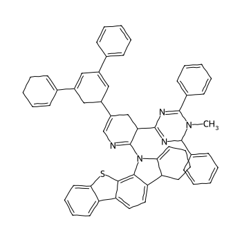 CN1C(c2ccccc2)=NC(C2CC(C3C=C(c4ccccc4)C=C(C4=CCCC=C4)C3)=CN=C2N2C3=CCCCC3c3ccc4c(sc5ccccc54)c32)=NC1c1ccccc1